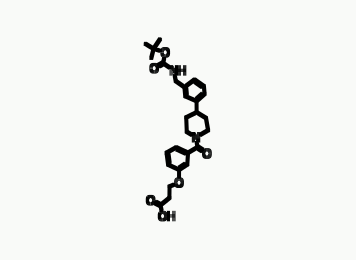 CC(C)(C)OC(=O)NCc1cccc(C2CCN(C(=O)c3cccc(OCCC(=O)O)c3)CC2)c1